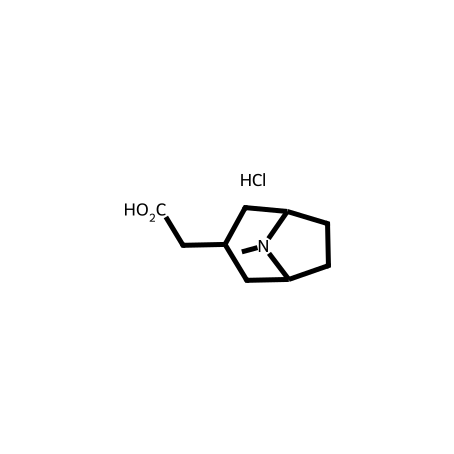 CN1C2CCC1CC(CC(=O)O)C2.Cl